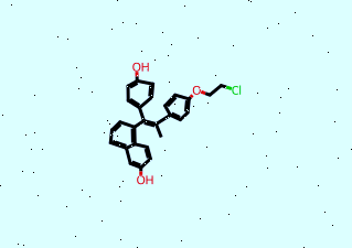 CC(=C(c1ccc(O)cc1)c1cccc2cc(O)ccc12)c1ccc(OCCCl)cc1